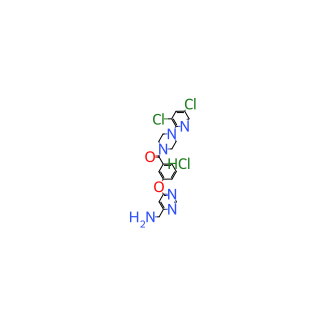 Cl.NCc1cc(Oc2cccc(C(=O)N3CCN(c4ncc(Cl)cc4Cl)CC3)c2)ncn1